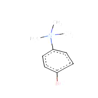 C[N+](C)(C)c1ccc(Br)cc1